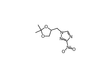 CC1(C)OCC(Cn2cnc([N+](=O)[O-])n2)O1